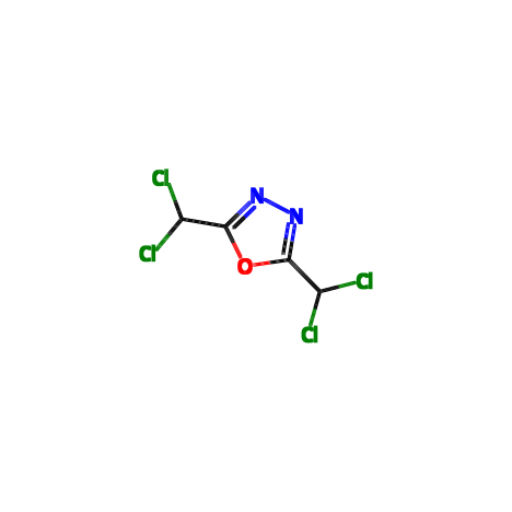 ClC(Cl)c1nnc(C(Cl)Cl)o1